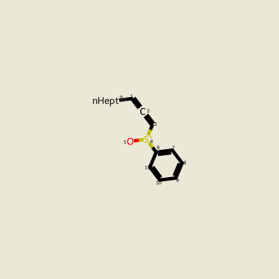 CCCCCCCC=C=C[S+]([O-])c1ccccc1